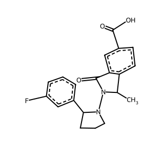 CC1c2ccc(C(=O)O)cc2C(=O)N1N1CCCC1c1cccc(F)c1